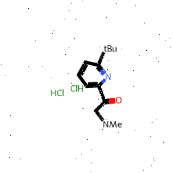 CNCC(=O)c1cccc(C(C)(C)C)n1.Cl.Cl